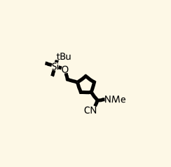 [C-]#[N+]C(NC)C1CCC(CO[Si](C)(C)C(C)(C)C)C1